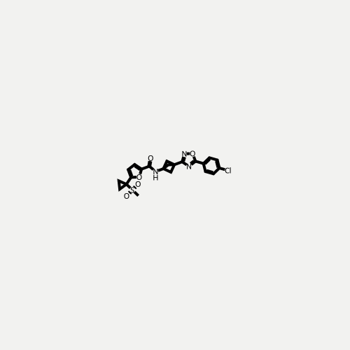 CS(=O)(=O)C1(c2ccc(C(=O)NC34CC(c5noc(-c6ccc(Cl)cc6)n5)(C3)C4)o2)CC1